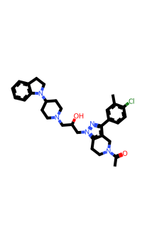 CC(=O)N1CCc2c(c(-c3ccc(Cl)c(C)c3)nn2CC(O)CN2CCC(N3CCc4ccccc43)CC2)C1